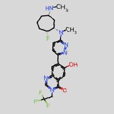 CN[C@H]1CCC[C@@H](F)[C@@H](N(C)c2ccc(-c3cc4ncn(CC(F)(F)F)c(=O)c4cc3O)nn2)C1